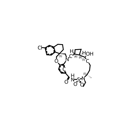 CCN1[C@@H](C)CCC[C@H](O)[C@@H]2CC[C@H]2CN2C[C@@]3(CCCc4cc(Cl)ccc43)COc3ccc(cc32)C(=O)NS1(=O)=O